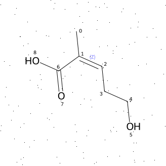 C/C(=C/C[CH]O)C(=O)O